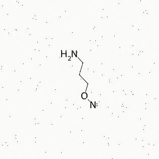 [N]OCCCN